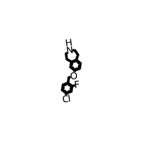 Fc1cc(Cl)ccc1COc1ccc2c(c1)CCNCC2